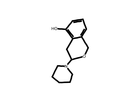 Oc1cccc2c1CC(N1CCCCC1)OC2